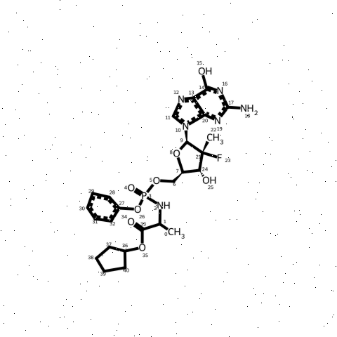 CC(NP(=O)(OC[C@H]1O[C@@H](n2cnc3c(O)nc(N)nc32)[C@](C)(F)[C@@H]1O)Oc1ccccc1)C(=O)OC1CCCC1